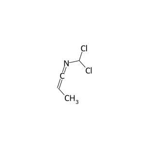 CC=C=NC(Cl)Cl